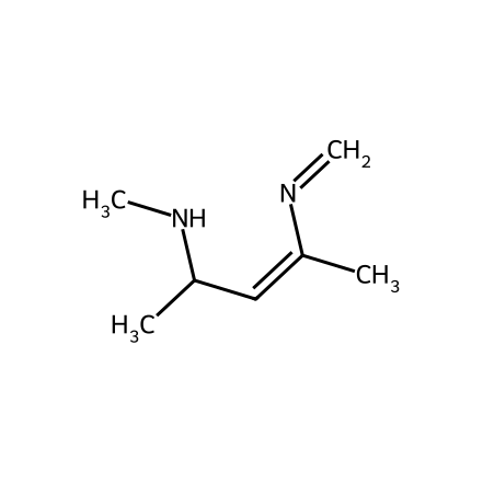 C=N/C(C)=C\C(C)NC